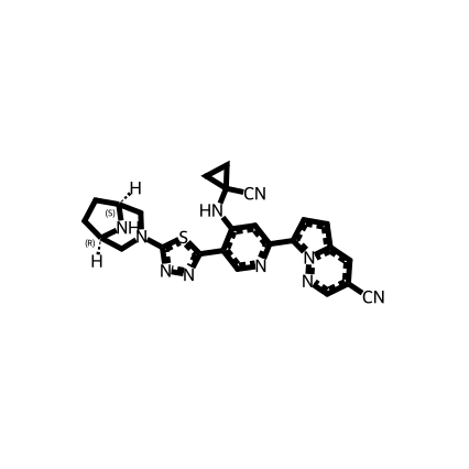 N#Cc1cnn2c(-c3cc(NC4(C#N)CC4)c(-c4nnc(N5C[C@H]6CC[C@@H](C5)N6)s4)cn3)ccc2c1